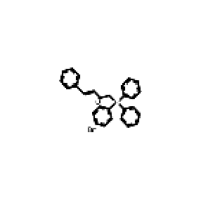 O=C(C=Cc1ccccc1)C[P+](c1ccccc1)(c1ccccc1)c1ccccc1.[Br-]